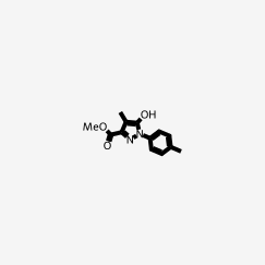 COC(=O)c1nn(-c2ccc(C)cc2)c(O)c1C